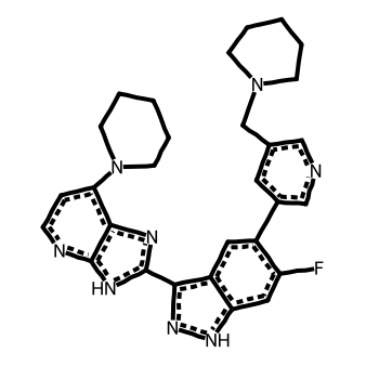 Fc1cc2[nH]nc(-c3nc4c(N5CCCCC5)ccnc4[nH]3)c2cc1-c1cncc(CN2CCCCC2)c1